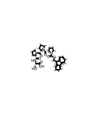 O=C(O)[C@H](CO)NC(=O)[C@@H]1CCCN1C(=O)[C@@H]1CCCN1C(=O)[C@@H]1CCCN1C(=O)OCC1c2ccccc2-c2ccccc21